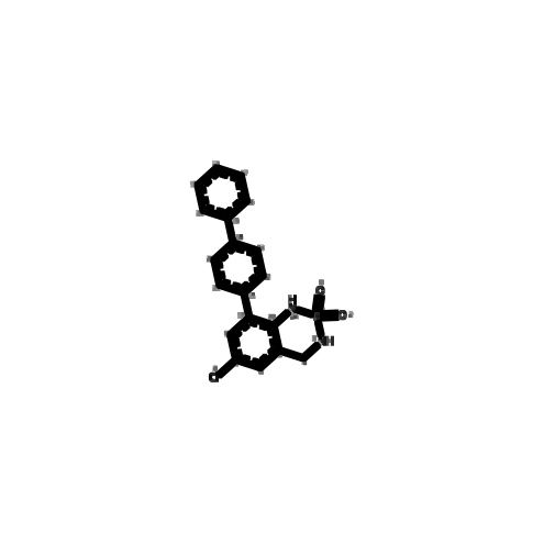 O=S1(=O)NCc2cc(Cl)cc(-c3ccc(-c4ccccc4)cc3)c2N1